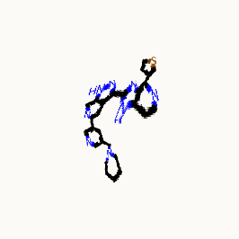 c1cc2[nH]c(-c3n[nH]c4cnc(-c5cncc(CN6CCCCC6)c5)cc34)nc2c(-c2ccsc2)n1